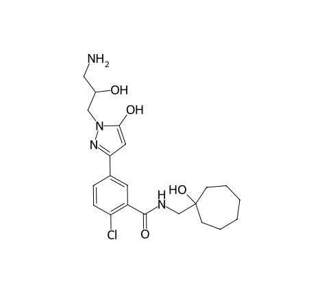 NCC(O)Cn1nc(-c2ccc(Cl)c(C(=O)NCC3(O)CCCCCC3)c2)cc1O